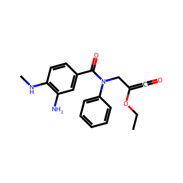 CCOC(=C=O)CN(C(=O)c1ccc(NC)c(N)c1)c1ccccc1